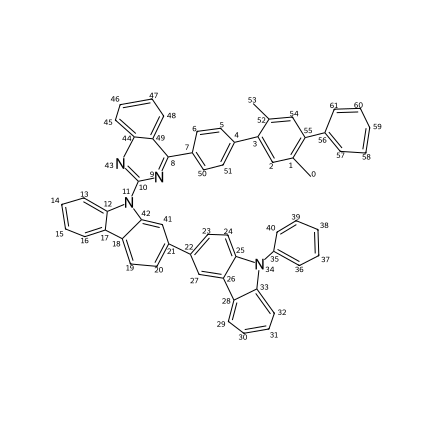 Cc1cc(-c2ccc(-c3nc(-n4c5ccccc5c5ccc(-c6ccc7c(c6)c6ccccc6n7-c6ccccc6)cc54)nc4ccccc34)cc2)c(C)cc1-c1ccccc1